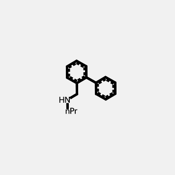 CCCNCc1ccccc1-c1ccccc1